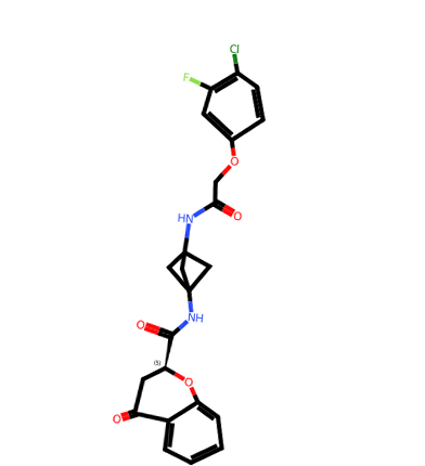 O=C(COc1ccc(Cl)c(F)c1)NC12CC(NC(=O)[C@@H]3CC(=O)c4ccccc4O3)(C1)C2